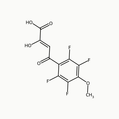 COc1c(F)c(F)c(C(=O)C=C(O)C(=O)O)c(F)c1F